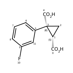 O=C(O)[C@H]1C[C@]1(C(=O)O)c1cccc(F)c1